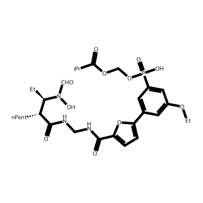 CCCCC[C@@H](C(=O)NCNC(=O)c1ccc(-c2cc(OCC)cc(P(=O)(O)OCOC(=O)C(C)C)c2)o1)[C@@H](CC)N(O)C=O